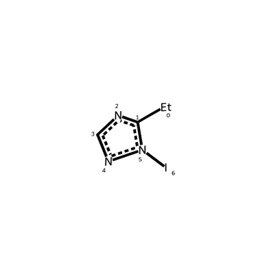 CCc1ncnn1I